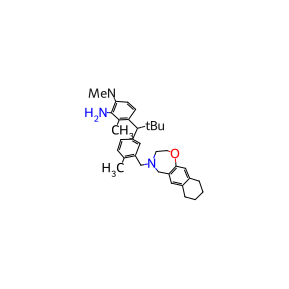 CNc1ccc(C(c2ccc(C)c(CN3CCOc4cc5c(cc4C3)CCCC5)c2)C(C)(C)C)c(C)c1N